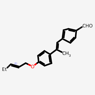 CC/C=C/COc1ccc(C(C)=Cc2ccc(C=O)cc2)cc1